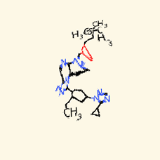 CCC1CC(n2ncnc2C2CC2)CC1c1nnc2cnc3c(ccn3COCC[Si](C)(C)C)n12